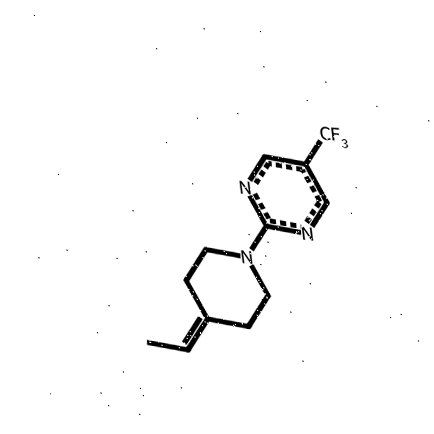 CC=C1CCN(c2ncc(C(F)(F)F)cn2)CC1